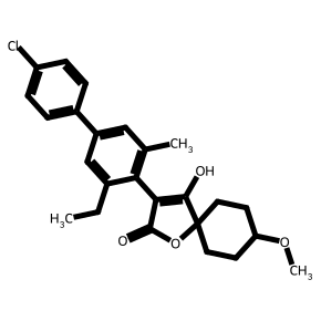 CCc1cc(-c2ccc(Cl)cc2)cc(C)c1C1=C(O)C2(CCC(OC)CC2)OC1=O